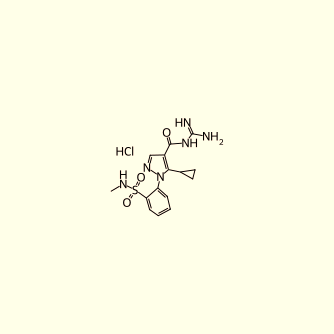 CNS(=O)(=O)c1ccccc1-n1ncc(C(=O)NC(=N)N)c1C1CC1.Cl